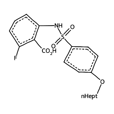 CCCCCCCOc1ccc(S(=O)(=O)Nc2cccc(F)c2C(=O)O)cc1